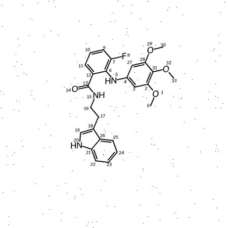 COc1cc(Nc2c(F)cccc2C(=O)NCCc2c[nH]c3ccccc23)cc(OC)c1OC